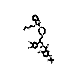 CCOCCn1c(N2CCCN(CCC(CN(C)C(=O)c3cc(OC(F)(F)F)ccc3OC)c3ccc(Cl)c(Cl)c3)CC2)nc2ccccc21